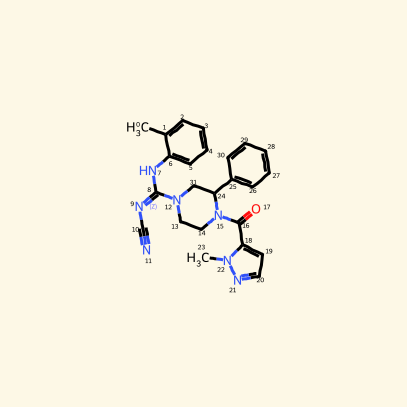 Cc1ccccc1N/C(=N/C#N)N1CCN(C(=O)c2ccnn2C)C(c2ccccc2)C1